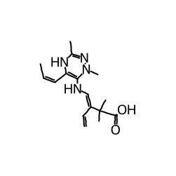 C=C/C(=C\NC1=C(/C=C\C)NC(C)=NN1C)C(C)(C)C(=O)O